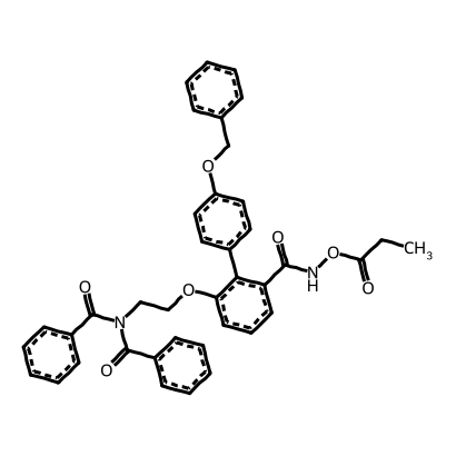 CCC(=O)ONC(=O)c1cccc(OCCN(C(=O)c2ccccc2)C(=O)c2ccccc2)c1-c1ccc(OCc2ccccc2)cc1